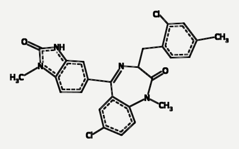 Cc1ccc(CC2N=C(c3ccc4c(c3)[nH]c(=O)n4C)c3cc(Cl)ccc3N(C)C2=O)c(Cl)c1